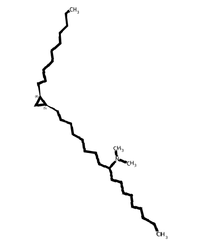 CCCCCCCCCC[C@@H]1C[C@@H]1CCCCCCCCC(CCCCCCCCC)N(C)C